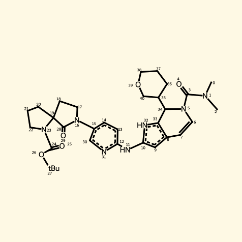 CN(C)C(=O)N1C=Cc2cc(Nc3ccc(N4CCC5(CCCN5C(=O)OC(C)(C)C)C4=O)cn3)[nH]c2C1C1CCCOC1